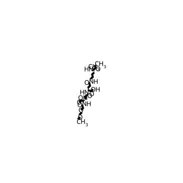 CCOCCOCC(=O)N[C@@H](CCC(=O)N[C@@H](CCC(=O)NCCCC[C@H](NC)C(=O)CC)C(=O)O)C(=O)O